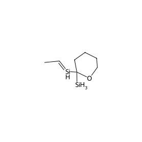 CC=[SiH]C1([SiH3])CCCCO1